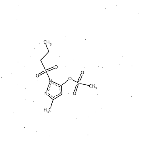 CCCS(=O)(=O)n1nc(C)cc1OS(C)(=O)=O